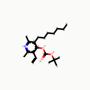 C=Cc1c(C)nc(C)c(CCCCCCC)c1OC(=O)OC(C)(C)C